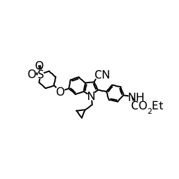 CCOC(=O)Nc1ccc(-c2c(C#N)c3ccc(OC4CCS(=O)(=O)CC4)cc3n2CC2CC2)cc1